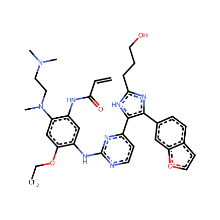 C=CC(=O)Nc1cc(Nc2nccc(-c3[nH]c(CCCO)nc3-c3ccc4ccoc4c3)n2)c(OCC(F)(F)F)cc1N(C)CCN(C)C